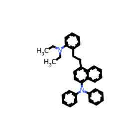 CCN(CC)c1ccccc1CCc1ccc(N(c2ccccc2)c2ccccc2)c2ccccc12